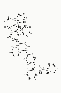 C1=CCNC(C2C=C(c3ccc(-c4ccc(-c5ccc6c(c5)C5(c7ccccc7-c7ccccc75)c5ccccc5-6)c5ccccc45)cc3)c3ccccc3N2)=C1